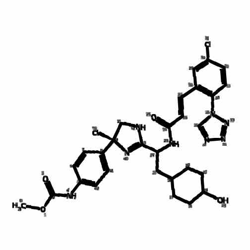 COC(=O)Nc1ccc([C@]2(Cl)CNC(C(CC3CCC(O)CC3)NC(=O)C=Cc3cc(Cl)ccc3-n3cnnn3)=N2)cc1